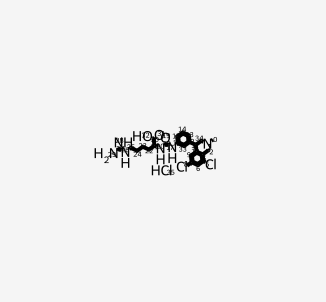 CN1Cc2c(Cl)cc(Cl)cc2C(c2cccc(NC(=O)NC(CCCCNC(=N)N)C(=O)O)c2)C1.Cl